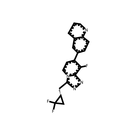 Fc1c(-c2ccc3ncccc3c2)ccn2c(C[C@@H]3CC3(F)F)nnc12